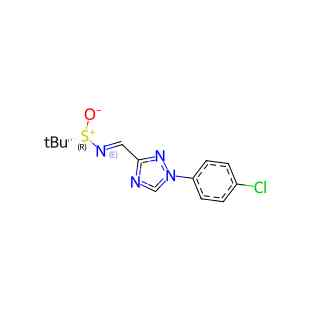 CC(C)(C)[S@+]([O-])/N=C/c1ncn(-c2ccc(Cl)cc2)n1